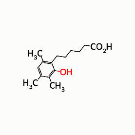 Cc1cc(C)c(CCCCCC(=O)O)c(O)c1C